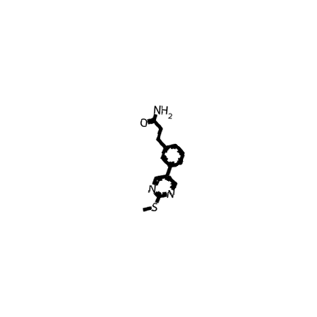 CSc1ncc(-c2cccc(CCC(N)=O)c2)cn1